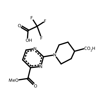 COC(=O)c1ccnc(N2CCC(C(=O)O)CC2)n1.O=C(O)C(F)(F)F